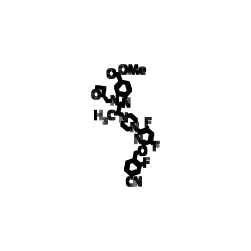 COC(=O)c1ccc2nc(C(C)N3CCN(c4nc(OCc5ccc(C#N)cc5F)c(F)cc4F)CC3)n(C[C@@H]3CCO3)c2c1